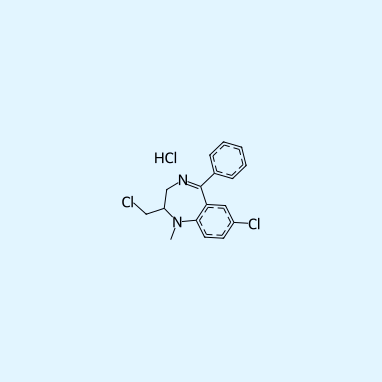 CN1c2ccc(Cl)cc2C(c2ccccc2)=NCC1CCl.Cl